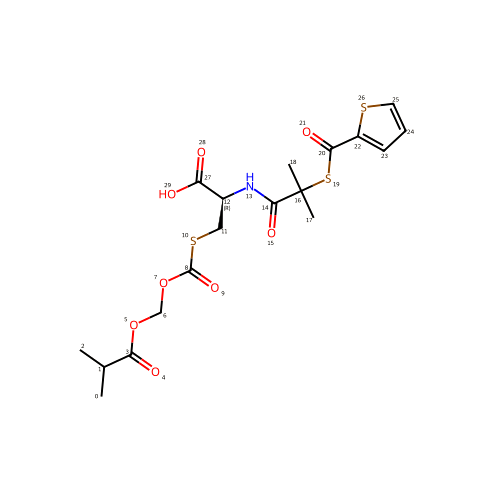 CC(C)C(=O)OCOC(=O)SC[C@H](NC(=O)C(C)(C)SC(=O)c1cccs1)C(=O)O